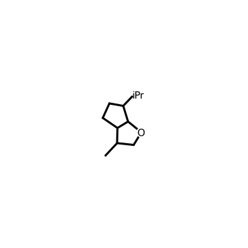 CC(C)C1CCC2C(C)COC12